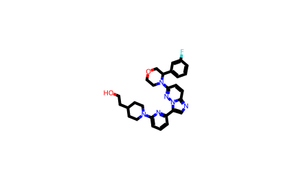 OCCC1CCN(c2cccc(-c3cnc4ccc(N5CCOCC5c5cccc(F)c5)nn34)n2)CC1